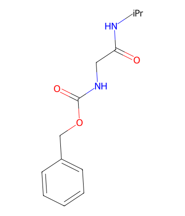 CC(C)NC(=O)CNC(=O)OCc1ccccc1